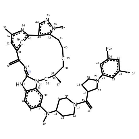 C=C1/N=C2\Nc3ccc(N(C)C4CCN(C(=C)C5CCN(c6cc(F)cc(F)c6)C5)CC4)cc3N2C[C@H](C)CCCCc2c(cnn2C)-c2cc1cc(C)n2